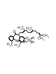 CC(C)=CCC/C(C)=C/CC/C(C)=C/CN1C(=O)c2cccc(C)c2Nc2c(C)cc(O[Si](C(C)C)(C(C)C)C(C)C)cc21